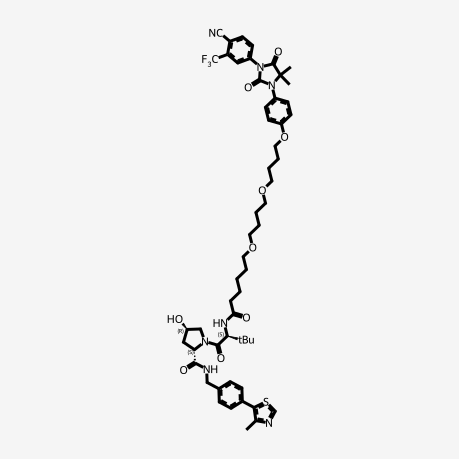 Cc1ncsc1-c1ccc(CNC(=O)[C@@H]2C[C@@H](O)CN2C(=O)[C@@H](NC(=O)CCCCCOCCCCOCCCCOc2ccc(N3C(=O)N(c4ccc(C#N)c(C(F)(F)F)c4)C(=O)C3(C)C)cc2)C(C)(C)C)cc1